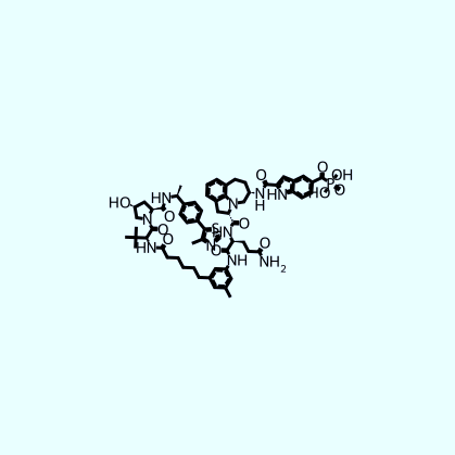 Cc1cc(CCCCCC(=O)N[C@H](C(=O)N2C[C@H](O)C[C@H]2C(=O)N[C@@H](C)c2ccc(-c3scnc3C)cc2)C(C)(C)C)cc(NC(=O)[C@H](CCC(N)=O)NC(=O)[C@@H]2Cc3cccc4c3N2C[C@@H](NC(=O)c2cc3cc(C(=O)P(=O)(O)O)ccc3[nH]2)CC4)c1